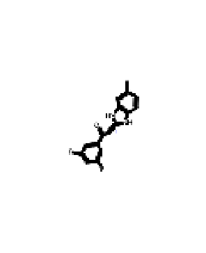 Cc1ccc2c(c1)N/C(=C\C(=O)c1cc(F)cc(F)c1)N2